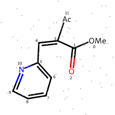 COC(=O)C(=Cc1ccccn1)C(C)=O